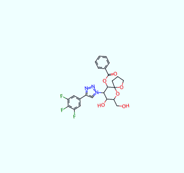 O=C(OC1C(n2cc(-c3cc(F)c(F)c(F)c3)nn2)C(O)C(CO)OC12CCCO2)c1ccccc1